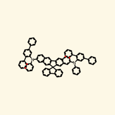 c1ccc(-c2ccc(-c3ccccc3)c(N(c3ccccc3)c3ccc4cc5c(cc4c3)C3(c4ccccc4-c4ccccc43)c3cc4cc(N(c6ccccc6)c6cc(-c7ccccc7)ccc6-c6ccccc6)ccc4cc3-5)c2)cc1